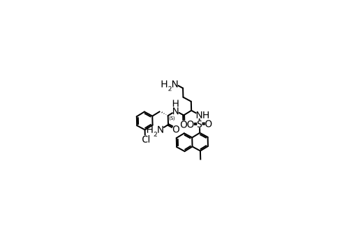 Cc1ccc(S(=O)(=O)NC(CCCN)C(=O)N[C@@H](Cc2cccc(Cl)c2)C(N)=O)c2ccccc12